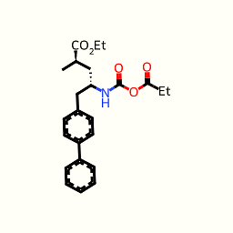 CCOC(=O)[C@H](C)C[C@@H](Cc1ccc(-c2ccccc2)cc1)NC(=O)OC(=O)CC